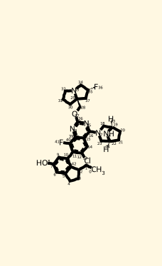 CCC1CCc2cc(O)cc(-c3c(Cl)cc4c(N5C[C@H]6CC[C@@H](C5)N6)nc(OC[C@@]56CCCN5C[C@H](F)C6)nc4c3F)c21